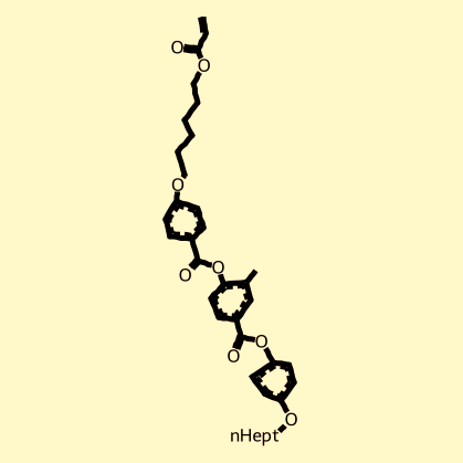 C=CC(=O)OCCCCCCOc1ccc(C(=O)Oc2ccc(C(=O)Oc3ccc(OCCCCCCC)cc3)cc2C)cc1